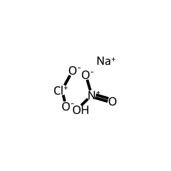 O=[N+]([O-])O.[Na+].[O-][Cl+][O-]